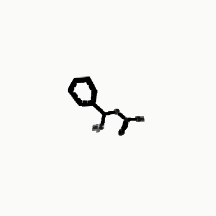 CC(O[Si](=O)O)c1ccccc1